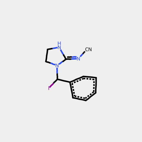 N#CN=C1NCCN1C(I)c1ccccc1